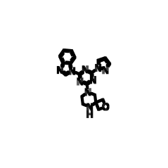 c1ccc2c(c1)ncn2-c1nc(N2CCNC3(COC3)C2)nc(-n2cccn2)n1